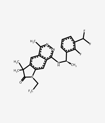 Cc1nnc(N[C@H](C)c2cccc(C(F)F)c2F)c2cc3c(cc12)C(C)(C)C(=O)N3CC(F)(F)F